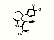 CCC(c1ccc(Cl)c(Cl)c1)n1c(C#N)c(C(N)=O)[nH]c1=S